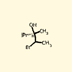 CCC(C)[C@](C)(O)C(C)C